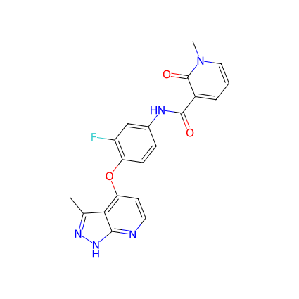 Cc1n[nH]c2nccc(Oc3ccc(NC(=O)c4cccn(C)c4=O)cc3F)c12